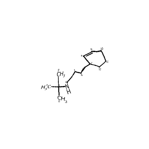 CC(C)(C)NCCC1C=CCCC1